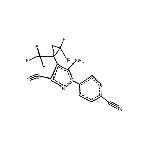 N#Cc1ccc(-n2nc(C#N)c(C3(C(F)(F)F)CC3(F)F)c2N)cc1